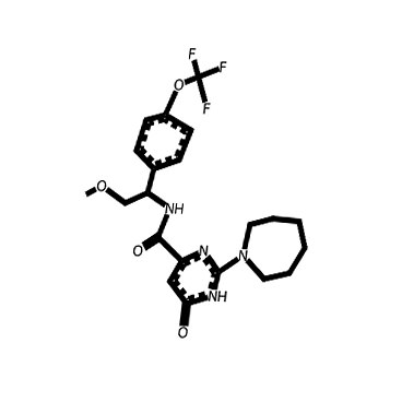 COCC(NC(=O)c1cc(=O)[nH]c(N2CCCCCC2)n1)c1ccc(OC(F)(F)F)cc1